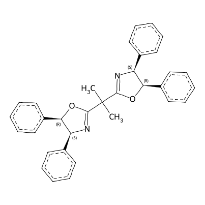 CC(C)(C1=N[C@@H](c2ccccc2)[C@@H](c2ccccc2)O1)C1=N[C@@H](c2ccccc2)[C@@H](c2ccccc2)O1